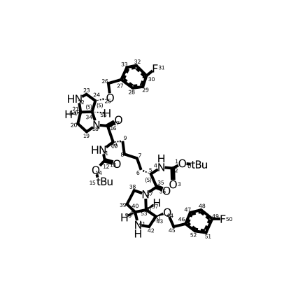 CC(C)(C)OC(=O)N[C@@H](CCCC[C@H](NC(=O)OC(C)(C)C)C(=O)N1CC[C@H]2NC[C@H](OCc3ccc(F)cc3)[C@H]21)C(=O)N1CC[C@H]2NC[C@H](OCc3ccc(F)cc3)[C@H]21